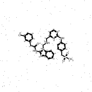 CS(=O)(=O)Cc1ccc(Nc2nccc(CNCn3c(NC(=O)Cc4cccc(Cl)c4)nc4ccccc43)n2)cc1